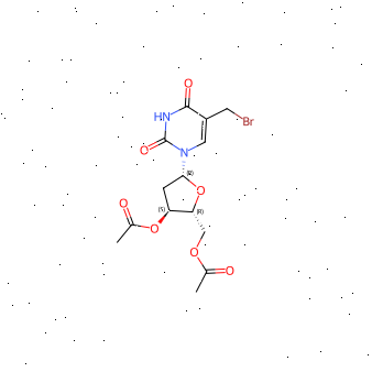 CC(=O)OC[C@H]1O[C@@H](n2cc(CBr)c(=O)[nH]c2=O)C[C@@H]1OC(C)=O